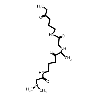 CCC(=O)CCCNC(=O)CNC(C)C(=O)CCCNC(=O)CN(C)C